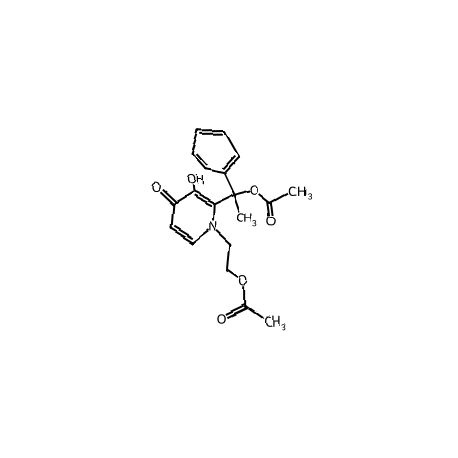 CC(=O)OCCn1ccc(=O)c(O)c1C(C)(OC(C)=O)c1ccccc1